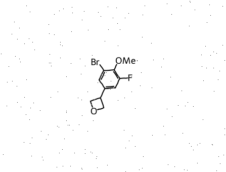 COc1c(F)cc(C2COC2)cc1Br